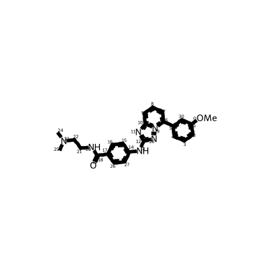 COc1cccc(-c2cccc3nc(Nc4ccc(C(=O)NCCN(C)C)cc4)nn23)c1